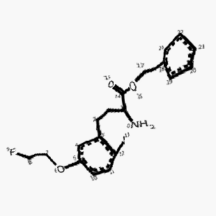 NC(Cc1cc(OCCF)ccc1I)C(=O)OCc1ccccc1